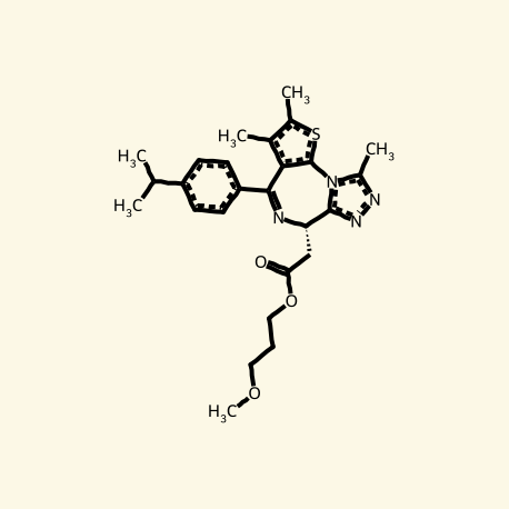 COCCCOC(=O)C[C@@H]1N=C(c2ccc(C(C)C)cc2)c2c(sc(C)c2C)-n2c(C)nnc21